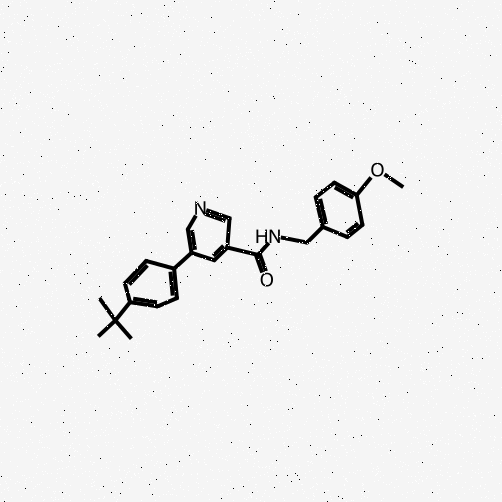 COc1ccc(CNC(=O)c2cncc(-c3ccc(C(C)(C)C)cc3)c2)cc1